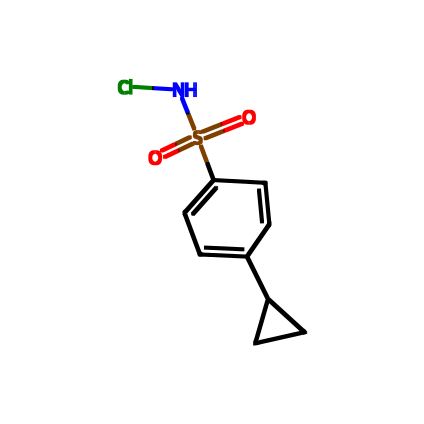 O=S(=O)(NCl)c1ccc(C2CC2)cc1